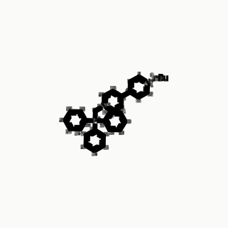 CCCC[n+]1ccc(-c2cc[n+](C[P+](c3ccccc3)(c3ccccc3)c3ccccc3)cc2)cc1